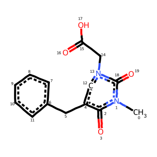 Cn1c(=O)c(Cc2ccccc2)cn(CC(=O)O)c1=O